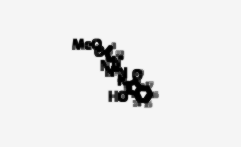 COOC(C)c1nnc(N=NC2=C(O)c3ccccc3C2=O)n1C